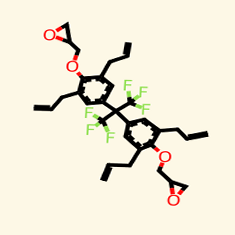 C=CCc1cc(C(c2cc(CC=C)c(OCC3CO3)c(CC=C)c2)(C(F)(F)F)C(F)(F)F)cc(CC=C)c1OCC1CO1